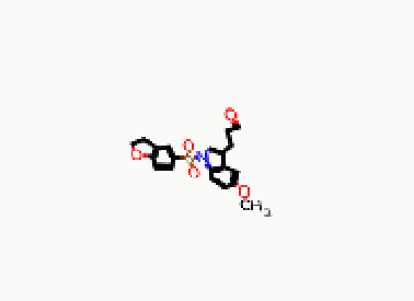 COc1ccc2c(c1)c(CCC=O)cn2S(=O)(=O)c1ccc2c(c1)CCO2